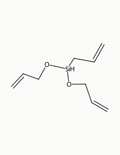 C=CCO[SiH](CC=C)OCC=C